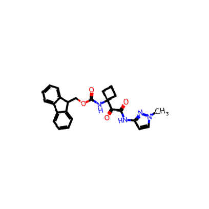 Cn1ccc(NC(=O)C(=O)C2(NC(=O)OCC3c4ccccc4-c4ccccc43)CCC2)n1